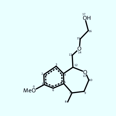 COc1ccc2c(c1)C(C)CCOC2COCCO